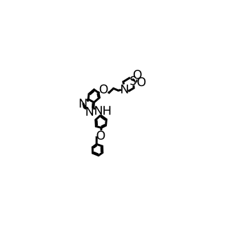 O=S1(=O)CCN(CCCOc2ccc3ncnc(Nc4ccc(OCc5ccccc5)cc4)c3c2)CC1